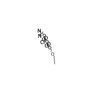 CCCCCCC[C@H]1CC[C@H](CCc2ccc(C(=O)Oc3ccc(C(=O)Oc4ccc(C(C)=C(C#N)C#N)cc4)c(Cl)c3)cc2)CC1